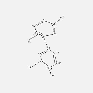 Cc1cc(-c2cc(F)ccc2C)ccc1F